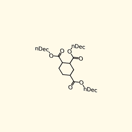 CCCCCCCCCCOC(=O)C1CCC(C(=O)OCCCCCCCCCC)C(C(=O)OCCCCCCCCCC)C1